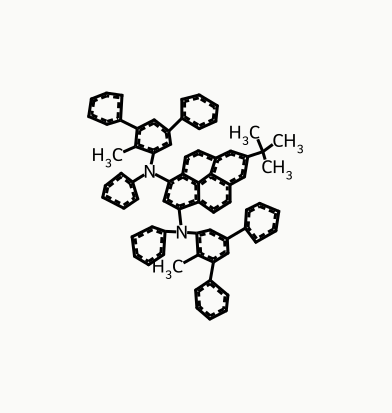 Cc1c(-c2ccccc2)cc(-c2ccccc2)cc1N(c1ccccc1)c1cc(N(c2ccccc2)c2cc(-c3ccccc3)cc(-c3ccccc3)c2C)c2ccc3cc(C(C)(C)C)cc4ccc1c2c43